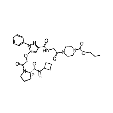 CCCOC(=O)N1CCN(C(=O)CNC(=O)c2cc(OCC(=O)N3CCC[C@H]3C(=O)NC3CCC3)n(-c3ccccc3)n2)CC1